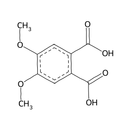 COc1cc(C(=O)O)c(C(=O)O)cc1OC